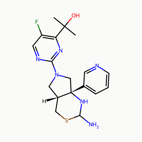 CC(C)(O)c1nc(N2C[C@H]3CSC(N)N[C@@]3(c3cccnc3)C2)ncc1F